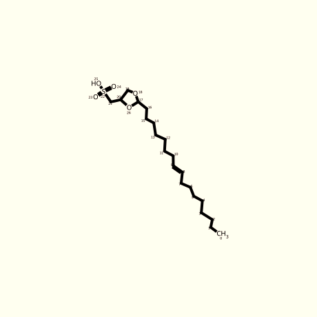 CCCCCCCCC=CCCCCCCCC1OCC(CS(=O)(=O)O)O1